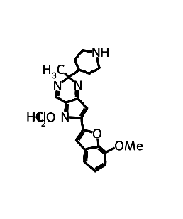 COc1cccc2cc(C3=CC4=NC(C)(C5CCNCC5)N=CC4=N3)oc12.Cl.O